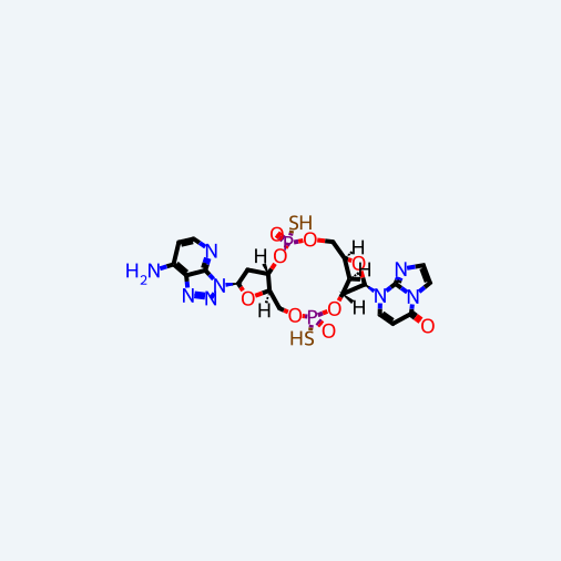 C[C@H]1[C@H]2OP(=O)(S)OC[C@H]3O[C@@H](n4nnc5c(N)ccnc54)C[C@@H]3OP(=O)(S)OC[C@H]1O[C@H]2n1ccc(=O)n2ccnc12